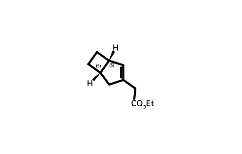 CCOC(=O)CC1=C[C@H]2CC[C@H]2C1